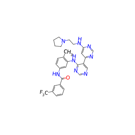 Cc1ccc(NC(=O)c2cccc(C(F)(F)F)c2)cc1Nc1ncncc1-c1cc(NCCN2CCCC2)ncn1